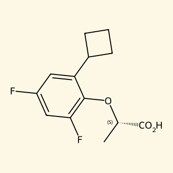 C[C@H](Oc1c(F)cc(F)cc1C1CCC1)C(=O)O